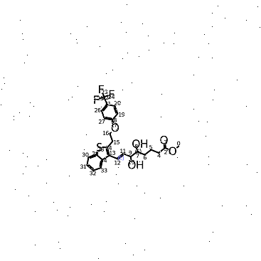 COC(=O)CCC[C@H](O)C(O)/C=C/c1c(CCOc2ccc(C(F)(F)F)cc2)sc2ccccc12